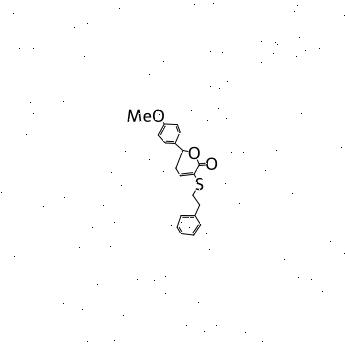 COc1ccc(C2CC=C(SCCc3ccccc3)C(=O)O2)cc1